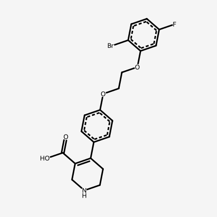 O=C(O)C1=C(c2ccc(OCCOc3cc(F)ccc3Br)cc2)CCNC1